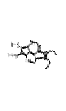 CCC1=C(CC)C(=C2C(S)=C(S)C(S)=C2S)C(CC)=C1CC